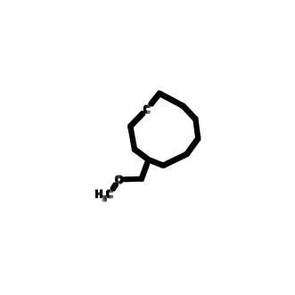 COCC1CCCCCCCCC1